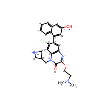 CN(C)CCOc1nc2cc(-c3cc(O)cc4ccccc34)c(F)cc2n(CC2CNC2)c1=O